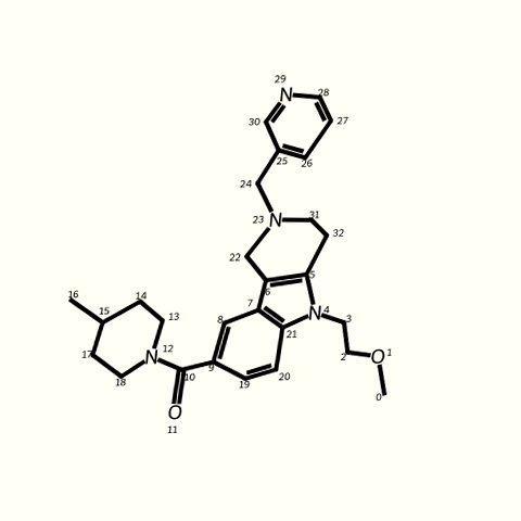 COCCn1c2c(c3cc(C(=O)N4CCC(C)CC4)ccc31)CN(Cc1cccnc1)CC2